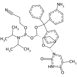 Cc1cn([C@H]2CC[C@@H](C(OP(OCCC#N)N(C(C)C)C(C)C)OC(c3ccccc3)(c3ccccc3)c3cccc(N)c3)O2)c(=O)[nH]c1=O